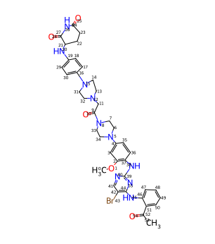 COc1cc(N2CCN(C(=O)CN3CCN(c4ccc(NC5CCC(=O)NC5=O)cc4)CC3)CC2)ccc1Nc1ncc(Br)c(Nc2ccccc2C(C)=O)n1